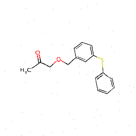 CC(=O)COCc1cccc(Sc2ccccc2)c1